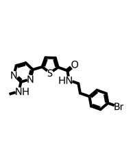 CNc1nccc(-c2ccc(C(=O)NCCc3ccc(Br)cc3)s2)n1